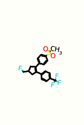 CS(=O)(=O)c1ccc(C2=C(c3ccc(C(F)(F)F)cc3)CC(CF)C2)cc1